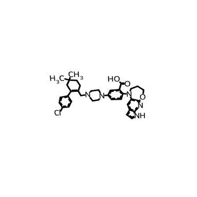 CC1(C)CCC(CN2CCN(c3ccc(N4CCCOc5nc6[nH]ccc6cc54)c(C(=O)O)c3)CC2)=C(c2ccc(Cl)cc2)C1